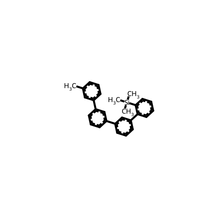 Cc1cccc(-c2cccc(-c3cccc(-c4ccccc4[Si](C)(C)C)c3)c2)c1